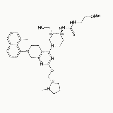 COCCNC(=S)N[C@H]1CCN(c2nc(OC[C@@H]3CCCN3C)nc3c2CCN(c2cccc4cccc(C)c24)C3)C[C@@H]1CC#N